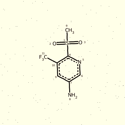 CS(=O)(=O)c1ncc(N)cc1C(F)(F)F